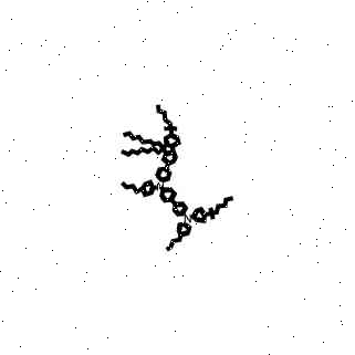 CCCCCCCCC1(CCCCCCCC)c2cc(-c3ccc(N(c4ccc(CCCC)cc4)c4ccc(-c5ccc(N(c6ccc(CCCC)cc6)c6ccc(C(C)(C)CCCCC)cc6)cc5)cc4)cc3)ccc2-c2ccc(C(C)(C)CCCCC)cc21